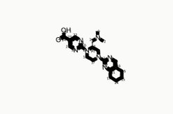 CN(C)C[C@@H]1CN(c2ncc3c(n2)CCCC3)CCN1c1ncc(C(=O)O)cn1